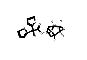 C[N+]1(C)[C@H]2C[C@H](OC(=O)C(O)(c3cccs3)c3cccs3)C[C@H]1[C@H]1O[C@H]12